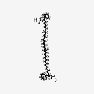 CC(CCCCCCCCCCCCCCSCCCCCCCCCCCCCCC(C)C1CCCCO1)C1CCCCO1